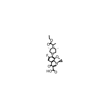 CCOC(=O)C(C)N1[C@H](C)CN(c2c(F)cc3c(=O)c(C(=O)O)cn(C4CC4)c3c2OC)C[C@@H]1C